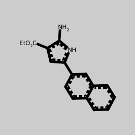 CCOC(=O)c1cc(-c2ccc3ccccc3c2)[nH]c1N